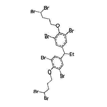 CCC(c1cc(Br)c(OCCCC(Br)Br)c(Br)c1)c1cc(Br)c(OCCCC(Br)Br)c(Br)c1